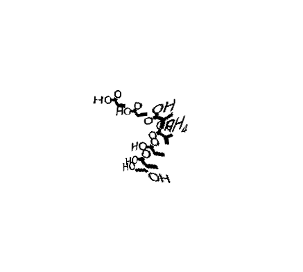 C.C=C(C)C(=O)O.C=C(C)C(=O)O.C=CC(=O)O.C=CC(=O)O.C=CC(=O)O.C=CC(=O)O.OCCO